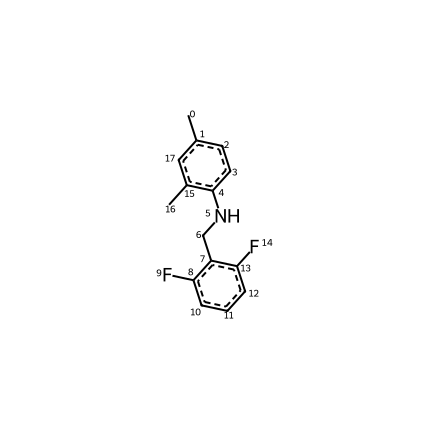 Cc1ccc(NCc2c(F)cccc2F)c(C)c1